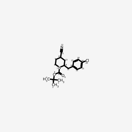 CC(C)(C)OC(=O)N1CCC(C#N)CC1Cc1ccc(Cl)cc1